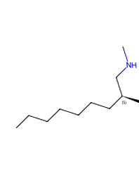 CCCCCCC[C@H](C)CNC